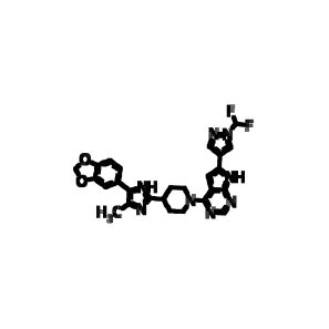 Cc1nc(C2CCN(c3ncnc4[nH]c(-c5cnn(C(F)F)c5)cc34)CC2)[nH]c1-c1ccc2c(c1)OCO2